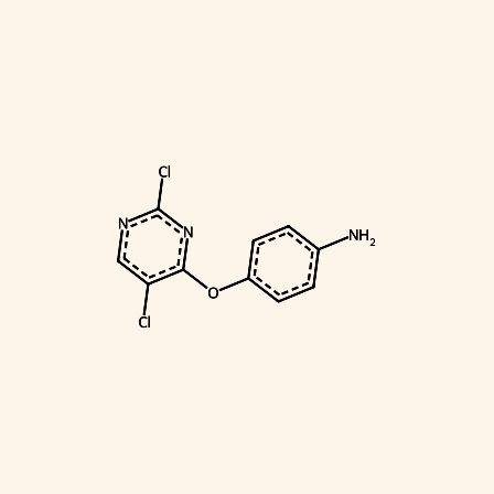 Nc1ccc(Oc2nc(Cl)ncc2Cl)cc1